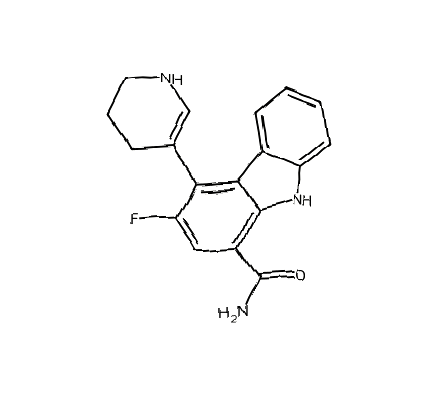 NC(=O)c1cc(F)c(C2=CNCCC2)c2c1[nH]c1ccccc12